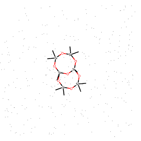 C[Si]1(C)O[Si](C)(C)O[Si]2(C)O[Si](C)(C)O[Si](C)(C)O[Si](C)(O1)O2